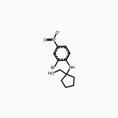 O=[N+]([O-])c1ccc(NC2(CO)CCCC2)c(Br)c1